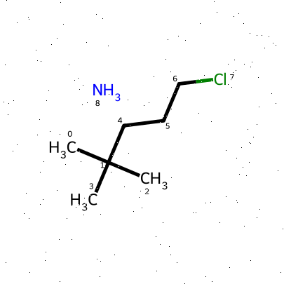 CC(C)(C)CCCCl.N